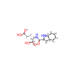 O=C(O)CC[C@H](NC(=O)c1cc2ccccc2[nH]1)C(=O)O